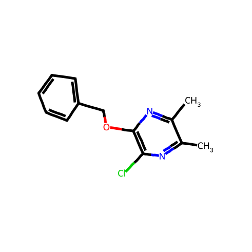 Cc1nc(Cl)c(OCc2ccccc2)nc1C